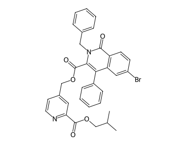 CC(C)COC(=O)c1cc(COC(=O)c2c(-c3ccccc3)c3cc(Br)ccc3c(=O)n2Cc2ccccc2)ccn1